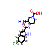 NC1CN(C(=O)O)CCC1NC(=O)c1cc2cc(Cl)ccc2[nH]1